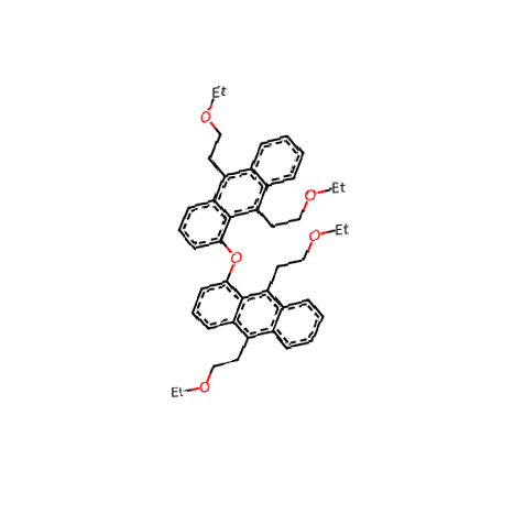 CCOCCc1c2ccccc2c(CCOCC)c2c(Oc3cccc4c(CCOCC)c5ccccc5c(CCOCC)c34)cccc12